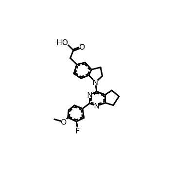 COc1ccc(-c2nc3c(c(N4CCc5cc(CC(=O)O)ccc54)n2)CCC3)cc1F